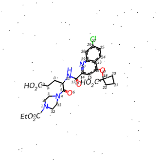 CCOC(=O)N1CCN(C(=O)C(CCC(=O)O)NC(=O)c2cc(OC3(C(=O)O)CCC3)c3ccc(Cl)cc3n2)CC1